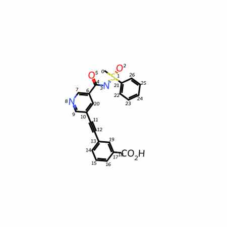 CS(=O)(=NC(=O)c1cncc(C#Cc2cccc(C(=O)O)c2)c1)c1ccccc1